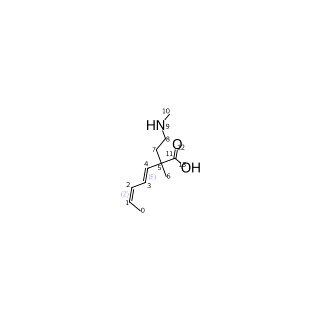 C/C=C\C=C\C(C)(CCNC)C(=O)O